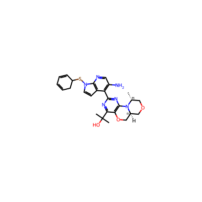 C[C@@H]1COC[C@H]2COc3c(nc(-c4c(N)cnc5c4ccn5SC4C=CC=CC4)nc3C(C)(C)O)N21